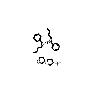 C1CCOC1.C1CCOC1.CCCC[N]([Zr+2][N](CCCC)c1ccccc1)c1ccccc1.[F-].[F-]